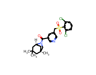 CC1(C)C[C@@H]2C[C@@](C)(CN2C(=O)c2cncc(CS(=O)(=O)c3c(Cl)cccc3Cl)c2)C1